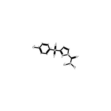 CCN(CC)C(=O)n1ccc(S(=O)(=O)c2ccc(Cl)cc2)n1